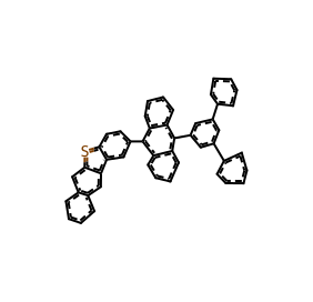 c1ccc(-c2cc(-c3ccccc3)cc(-c3c4ccccc4c(-c4ccc5sc6cc7ccccc7cc6c5c4)c4ccccc34)c2)cc1